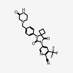 N#Cc1ncc(N2C(=O)N(c3ccc(CN4CCNC(=O)C4)cc3)C3(CCC3)C2=O)cc1C(F)(F)F